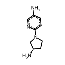 Nc1ccc(N2CC[C@@H](N)C2)nc1